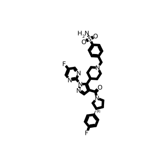 NS(=O)(=O)c1ccc(CN2CCC(c3c(C(=O)N4CC[C@H](c5ccc(F)cc5)C4)cnn3-c3ncc(F)cn3)CC2)cc1